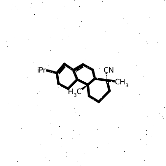 CC(C)C1=CC2=CCC3[C@](C)(CCC[C@@]3(C)C#N)C2CC1